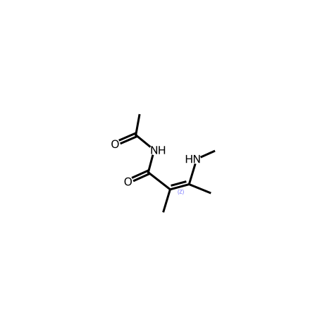 CN/C(C)=C(/C)C(=O)NC(C)=O